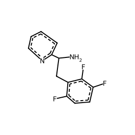 NC(Cc1c(F)ccc(F)c1F)c1ccccn1